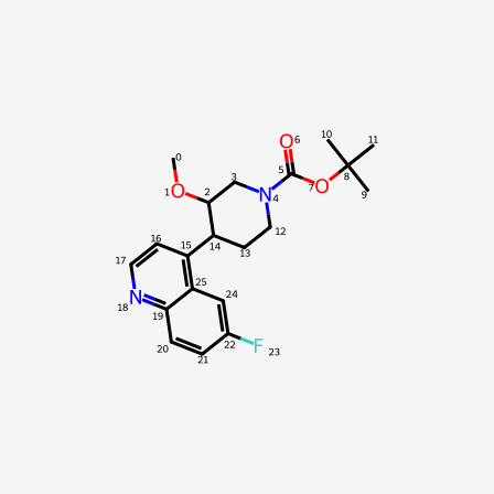 COC1CN(C(=O)OC(C)(C)C)CCC1c1ccnc2ccc(F)cc12